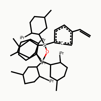 C=Cc1ccc([Si](O[Si](C2CC(C)CCC2C(C)C)(C2CC(C)CCC2C(C)C)C2CC(C)CCC2C(C)C)(C2CC(C)CCC2C(C)C)C2CC(C)CCC2C(C)C)cc1